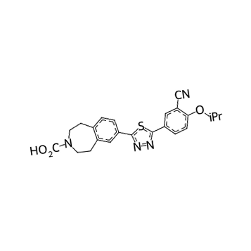 CC(C)Oc1ccc(-c2nnc(-c3ccc4c(c3)CCN(C(=O)O)CC4)s2)cc1C#N